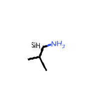 CC(C)CN.[SiH4]